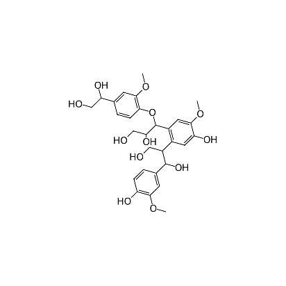 COc1cc(C(O)C(CO)c2cc(O)c(OC)cc2C(Oc2ccc(C(O)CO)cc2OC)C(O)CO)ccc1O